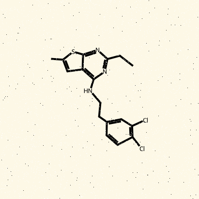 CCc1nc(NCCc2ccc(Cl)c(Cl)c2)c2cc(C)sc2n1